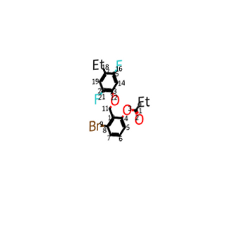 CCC(=O)Oc1cccc(Br)c1COc1cc(F)c(CC)cc1F